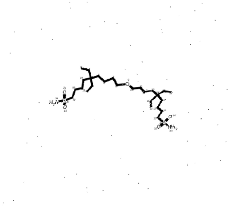 CCC(CC)(CCCCOCCCCC(CC)(CC)CCCCS(N)(=O)=O)CCCCS(N)(=O)=O